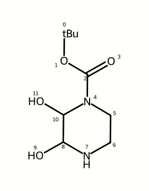 CC(C)(C)OC(=O)N1CCNC(O)C1O